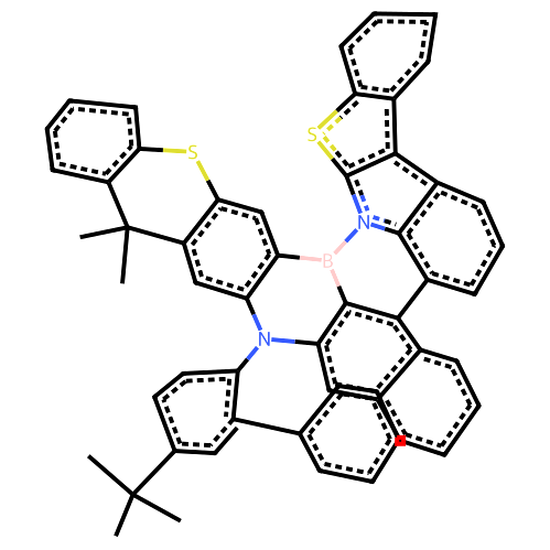 CC(C)(C)c1ccc(N2c3cc4c(cc3B3c5c2cc2ccccc2c5-c2cccc5c6c7ccccc7sc6n3c25)Sc2ccccc2C4(C)C)c(-c2ccccc2)c1